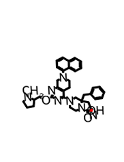 CN1CCCC1COc1nc2c(c(N3CCN(C(=O)O)C(CC#N)(Cc4ccccc4)C3)n1)CCN(c1cccc3ccccc13)C2